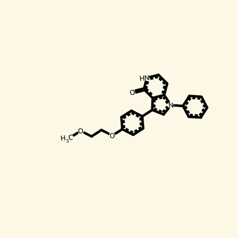 COCCOc1ccc(-c2cn(-c3ccccc3)c3cc[nH]c(=O)c23)cc1